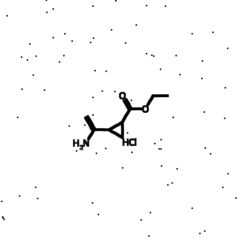 C=C(N)C1CC1C(=O)OCC.Cl